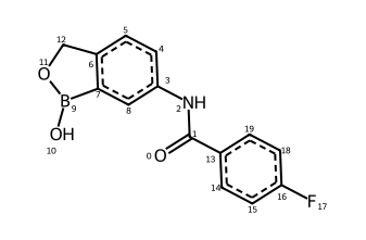 O=C(Nc1ccc2c(c1)B(O)OC2)c1ccc(F)cc1